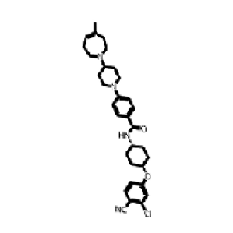 CC1=CCCN(C2CCN(c3ccc(C(=O)N[C@H]4CC[C@H](Oc5ccc(C#N)c(Cl)c5)CC4)cc3)CC2)CC1